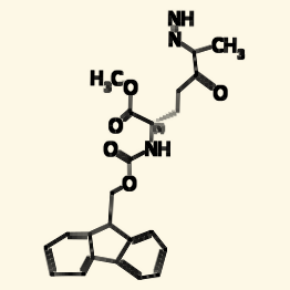 COC(=O)[C@H](CCC(=O)C(C)N=N)NC(=O)OCC1c2ccccc2-c2ccccc21